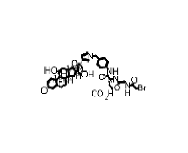 C[C@]12C=CC(=O)C=C1CC[C@H]1[C@@H]3C[C@H]4O[C@@H](c5ccn(Cc6ccc(NC(=O)[C@H](CCC(=O)O)NC(=O)CNC(=O)CBr)cc6)c5)O[C@@]4(C(=O)CO)[C@@]3(C)C[C@H](O)[C@@]12F